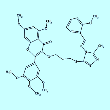 COc1cc(OC)c2c(=O)c(OCCCSc3nnc(C)n3N=Cc3ccccc3OC)c(-c3cc(OC)c(OC)c(OC)c3)oc2c1